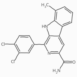 Cc1cccc2c1[nH]c1c(-c3ccc(Cl)c(Cl)c3)nc(C(N)=O)cc12